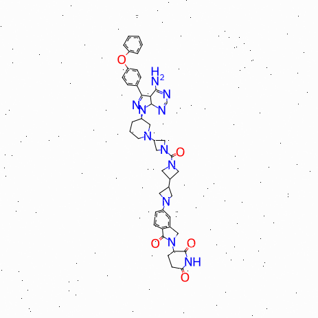 NC1=NC=NC2C1C(c1ccc(Oc3ccccc3)cc1)=NN2[C@@H]1CCCN(C2CN(C(=O)N3CC(C4CN(c5ccc6c(c5)CN(C5CCC(=O)NC5=O)C6=O)C4)C3)C2)C1